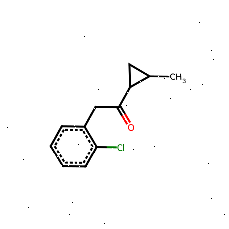 CC1CC1C(=O)Cc1ccccc1Cl